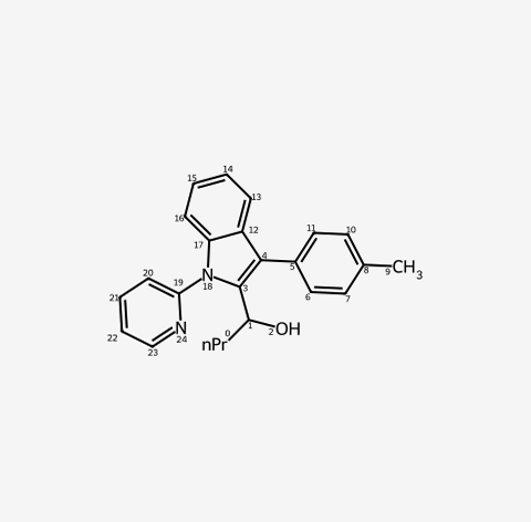 CCCC(O)c1c(-c2ccc(C)cc2)c2ccccc2n1-c1ccccn1